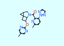 Cc1cnc(OC2CC34CC3CN(C(=O)c3nc(C)ccc3-n3nccn3)C24)nc1